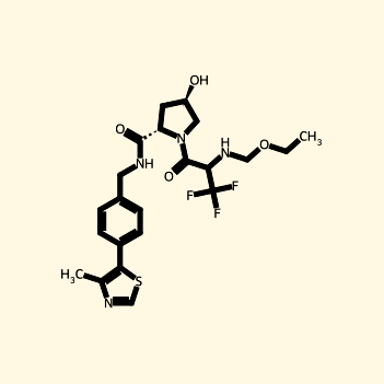 CCOCNC(C(=O)N1C[C@H](O)C[C@H]1C(=O)NCc1ccc(-c2scnc2C)cc1)C(F)(F)F